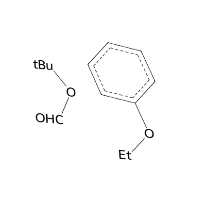 CC(C)(C)OC=O.CCOc1ccccc1